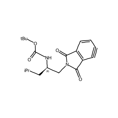 CC(C)C[C@H](CN1C(=O)c2c#cccc2C1=O)NC(=O)OC(C)(C)C